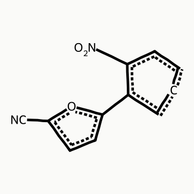 N#Cc1ccc(-c2ccccc2[N+](=O)[O-])o1